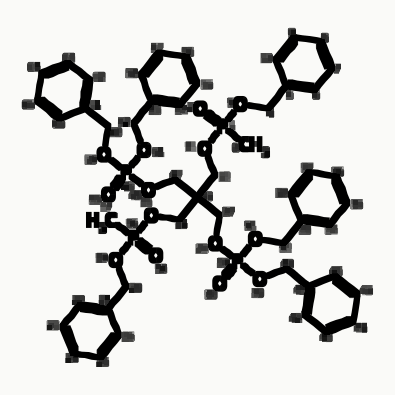 CP(=O)(OCc1ccccc1)OCC(COP(C)(=O)OCc1ccccc1)(COP(=O)(OCc1ccccc1)OCc1ccccc1)COP(=O)(OCc1ccccc1)OCc1ccccc1